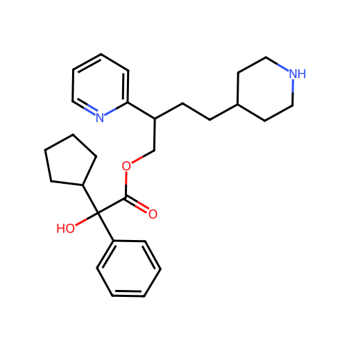 O=C(OCC(CCC1CCNCC1)c1ccccn1)C(O)(c1ccccc1)C1CCCC1